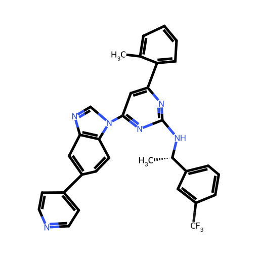 Cc1ccccc1-c1cc(-n2cnc3cc(-c4ccncc4)ccc32)nc(N[C@@H](C)c2cccc(C(F)(F)F)c2)n1